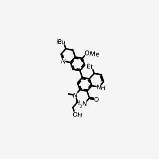 CCC1C=CNc2c(C(N)=O)c(N(C)CCO)cc(-c3cc4c(c(OC)c3)CC(C(C)CC)C=N4)c21